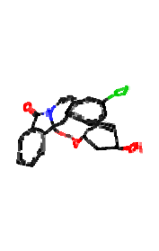 CCCN1C(=O)c2ccccc2C1(O[C@H]1C=C[C@@H](O)C1)c1ccc(Cl)cc1